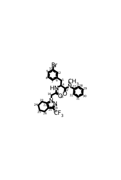 CN(C(=O)C(Cc1cccc(Br)c1)NC(=O)Cn1nc(C(F)(F)F)c2c1CCCC2)c1ccccc1